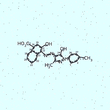 Cc1ccc(-n2nc(C)c(N=Nc3c(O)cc(C(=O)O)c4ccccc34)c2O)cc1